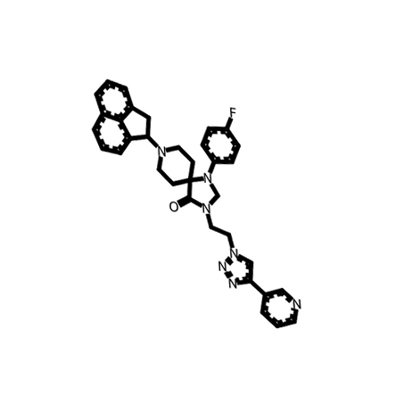 O=C1N(CCn2cc(-c3cccnc3)nn2)CN(c2ccc(F)cc2)C12CCN(C1Cc3cccc4cccc1c34)CC2